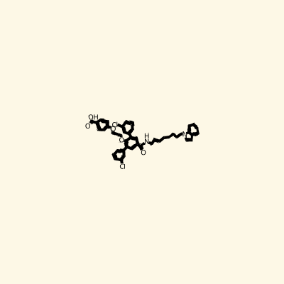 O=C(O)c1ccc(OCCOc2c(-c3cccc(Cl)c3)cc(C(=O)NCCCCCCCCn3ccc4ccccc43)cc2-c2cccc(Cl)c2)cc1